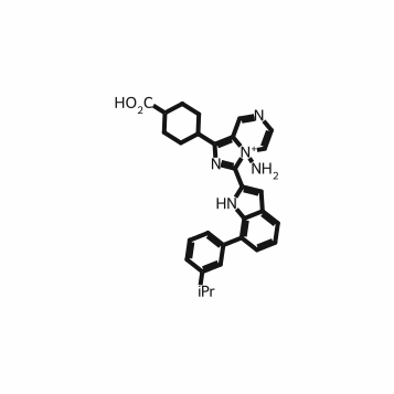 CC(C)c1cccc(-c2cccc3cc(C4=NC(C5CCC(C(=O)O)CC5)=C5C=NC=C[N+]45N)[nH]c23)c1